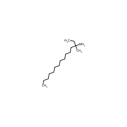 [CH2]CC(C)(N)CCCCCCCCCCCC